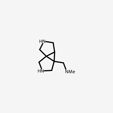 CNCC12CNCC13CNCC23